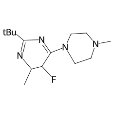 CC1N=C(C(C)(C)C)N=C(N2CCN(C)CC2)C1F